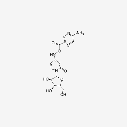 Cc1cnc(C(=O)ONc2ccn([C@@H]3O[C@H](CO)[C@@H](O)[C@H]3O)c(=O)n2)cn1